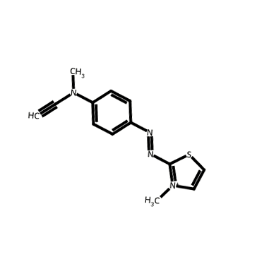 C#CN(C)c1ccc(/N=N/c2scc[n+]2C)cc1